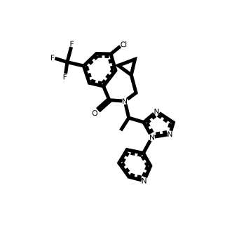 CC(c1ncnn1-c1cccnc1)N(CC1CC1)C(=O)c1cc(Cl)cc(C(F)(F)F)c1